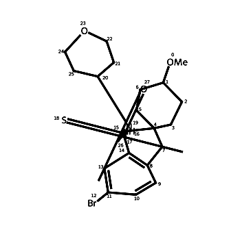 COC1CCC2(CC1)Cc1ccc(Br)cc1C21NC(=S)N(C2CCOCC2)C1=O